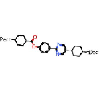 CCCCCCCCCC[C@H]1CC[C@H](c2cnc(-c3ccc(OC(=O)C4CCC(CCCCC)CC4)cc3)nc2)CC1